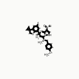 COc1ccc(CN(C)C2=CC(N)(c3cc(F)cc4c3OCC43CC3)N=C3C([N+](=O)[O-])=CNN23)cc1